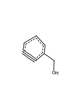 OCc1c#cccc1